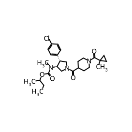 CCC(C)OC(=O)N(C)[C@@H]1CN(C(=O)C2CCN(C(=O)C3(C)CC3)CC2)C[C@H]1c1ccc(Cl)cc1